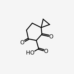 O=C(O)C1C(=O)CCC2(CC2)C1=O